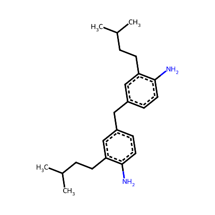 CC(C)CCc1cc(Cc2ccc(N)c(CCC(C)C)c2)ccc1N